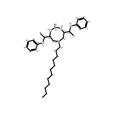 CCCCCCCCCCCCN1CC(C(C)Oc2ccccc2)OBOC(C(C)Oc2ccccc2)C1